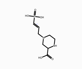 O=C(O)C1CN(C/C=C/P(=O)(O)O)CCN1